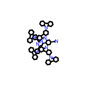 N#Cc1cc(-n2c3ccc(-n4c5ccccc5c5ccccc54)cc3c3cc(-n4c5ccccc5c5ccccc54)ccc32)c(-c2cc(-c3ccccc3)nc(-c3ccccc3)n2)c(-n2c3ccc(-n4c5ccccc5c5ccccc54)cc3c3cc(-n4c5ccccc5c5ccccc54)ccc32)c1